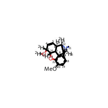 [2H]OC1([2H])C=C[C@@H]2[C@@]34CCN(C)[C@]2([2H])C([2H])([2H])c2ccc(OC)c(c23)OC14[2H]